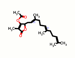 CC(=O)OC1=C(C)C(=O)OC1C/C=C(\C)CC/C=C(\C)CCC=C(C)C